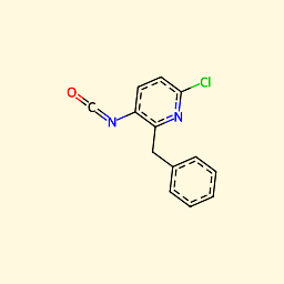 O=C=Nc1ccc(Cl)nc1Cc1ccccc1